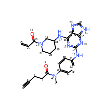 C#CCCC(=O)N(C)C(/C=C\C(=C)Nc1nc(NC2CCCN(C(=O)C=C)C2)c2nc[nH]c2n1)=C/C